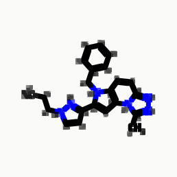 Cc1nnc2ccc3c(cc(-c4ccn(CCC#N)n4)n3Cc3ccccc3)n12